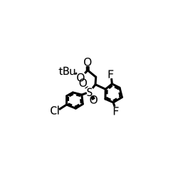 CC(C)(C)OC(=O)CC(c1cc(F)ccc1F)S(=O)(=O)c1ccc(Cl)cc1